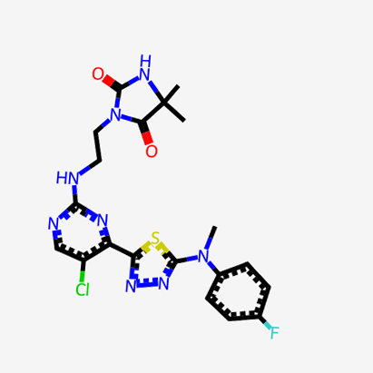 CN(c1ccc(F)cc1)c1nnc(-c2nc(NCCN3C(=O)NC(C)(C)C3=O)ncc2Cl)s1